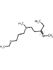 CCOCCCN(C)CC/C(CC)=N/C